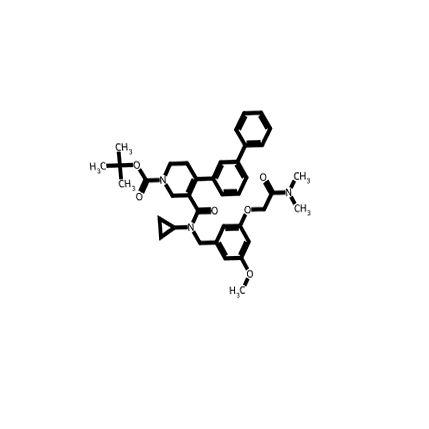 COc1cc(CN(C(=O)C2=C(c3cccc(-c4ccccc4)c3)CCN(C(=O)OC(C)(C)C)C2)C2CC2)cc(OCC(=O)N(C)C)c1